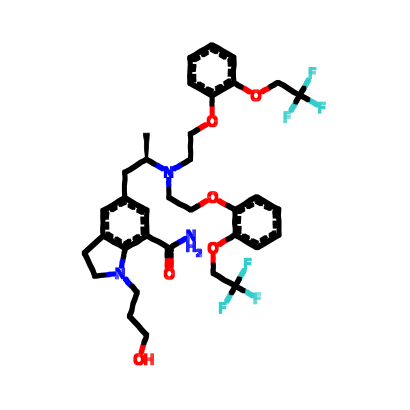 C[C@H](Cc1cc2c(c(C(N)=O)c1)N(CCCO)CC2)N(CCOc1ccccc1OCC(F)(F)F)CCOc1ccccc1OCC(F)(F)F